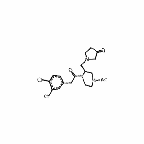 CC(=O)N1CCN(C(=O)Cc2ccc(Cl)c(Cl)c2)C(CN2CCC(=O)C2)C1